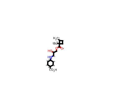 CC1CCC1(C(=O)OCC(O)CNC1CCC(C(=O)O)CC1)C(C)(C)C